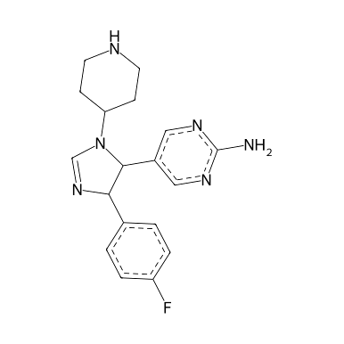 Nc1ncc(C2C(c3ccc(F)cc3)N=CN2C2CCNCC2)cn1